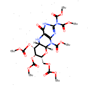 CC(C)(C)OC(=O)OC[C@H]1O[C@@H]2[C@@H](Nc3c(nc(N(C(=O)OC(C)(C)C)C(=O)OC(C)(C)C)[nH]c3=O)N2C(=O)OC(C)(C)C)[C@@H](OC(=O)OC(C)(C)C)[C@H]1OC(=O)OC(C)(C)C